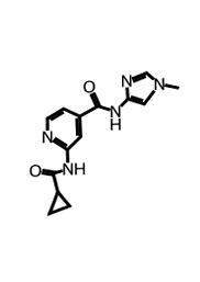 Cn1cnc(NC(=O)c2ccnc(NC(=O)C3CC3)c2)c1